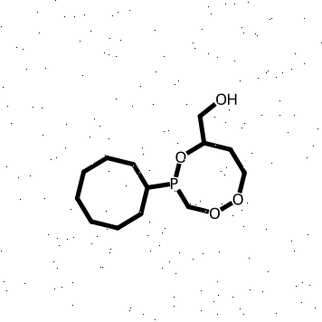 OCC1CCOOCP(C2CCCCCCC2)O1